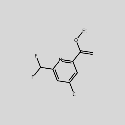 C=C(OCC)c1cc(Cl)cc(C(F)F)n1